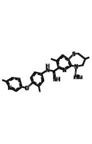 CCCCN1CC(C)CSc2cc(C)c(C(=N)Nc3ccc(Oc4ccc(C)nc4)c(C)c3)nc21